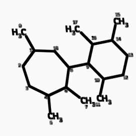 CC1CCC(C)C(C)C(C2C(C)CCC(C)C2C)C1